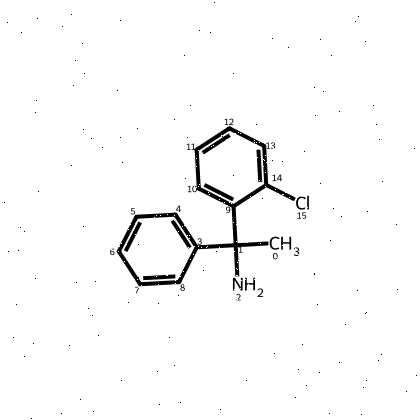 CC(N)(c1ccccc1)c1ccccc1Cl